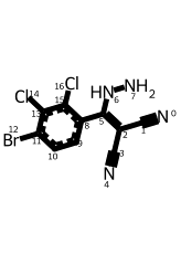 N#CC(C#N)=C(NN)c1ccc(Br)c(Cl)c1Cl